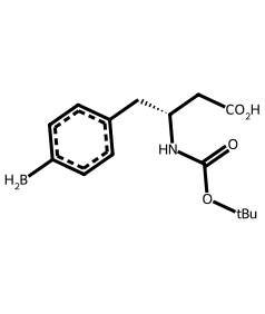 Bc1ccc(C[C@H](CC(=O)O)NC(=O)OC(C)(C)C)cc1